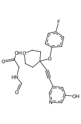 O=CNCC(=O)O.Oc1cncc(C#CC2(Oc3ccc(F)cc3)CCOCC2)c1